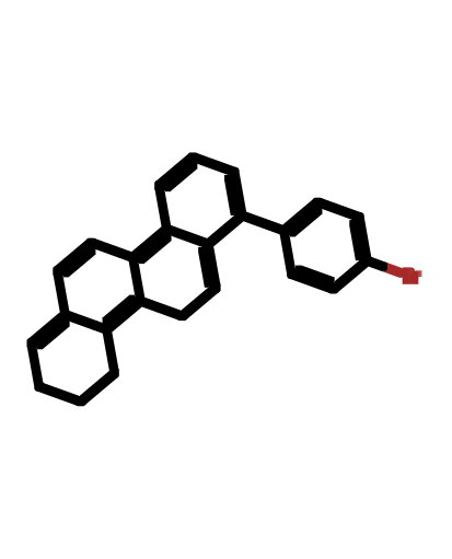 Brc1ccc(-c2cccc3c2=CCc2c4c(ccc2=3)=CCCC4)cc1